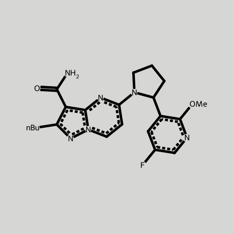 CCCCc1nn2ccc(N3CCCC3c3cc(F)cnc3OC)nc2c1C(N)=O